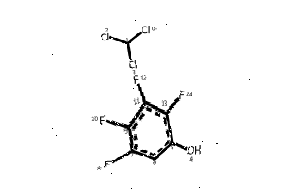 ClC(Cl)Cl.Oc1cc(F)c(F)c(F)c1F